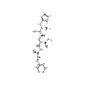 CCC(=O)[C@H](CNC(=O)C(N)Cc1cnc[nH]1)NCC(=O)OCc1ccccc1